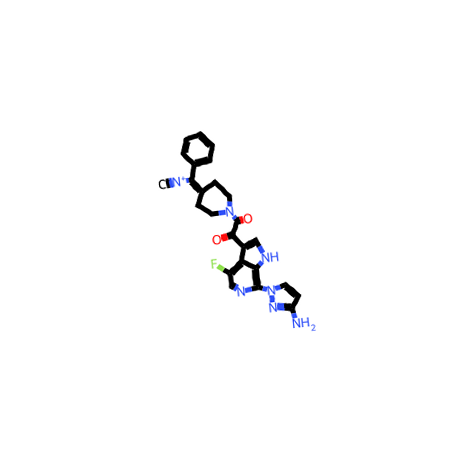 [C-]#[N+]C(=C1CCN(C(=O)C(=O)c2c[nH]c3c(-n4ccc(N)n4)ncc(F)c23)CC1)c1ccccc1